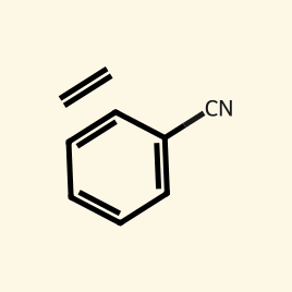 C=C.N#Cc1ccccc1